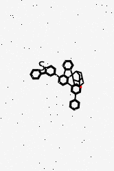 c1ccc(-c2cccc(-c3ccc(-c4ccc5sc6ccccc6c5c4)c4c3C3(c5ccccc5-4)C4CC5CC(C4)CC3C5)c2)cc1